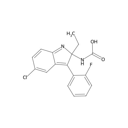 CCC1(NC(=O)O)N=c2ccc(Cl)cc2=C1c1ccccc1F